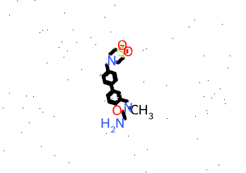 CN(Cc1cccc(-c2ccc(CN3CCS(=O)(=O)CC3)cc2)c1)C(=O)CN